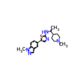 C=C(Nc1ncc(-c2ccc3c(cnn3C)c2)s1)C1CCN(C)CC1